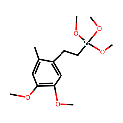 COc1cc(C)c(CC[Si](OC)(OC)OC)cc1OC